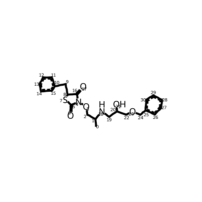 CC(CON1C(=O)SC(Cc2ccccc2)C1=O)NCC(O)COCc1ccccc1